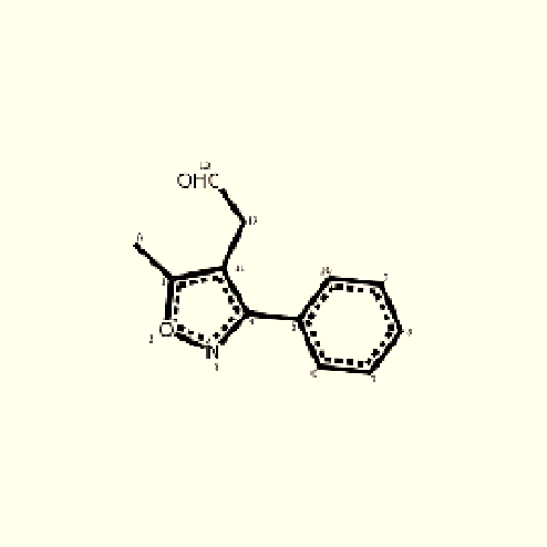 Cc1onc(-c2ccccc2)c1CC=O